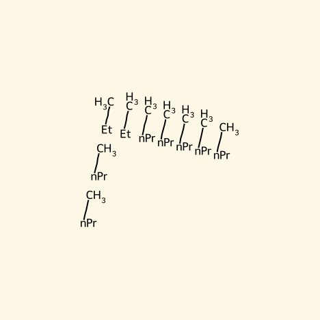 CCC.CCC.CCCC.CCCC.CCCC.CCCC.CCCC.CCCC.CCCC